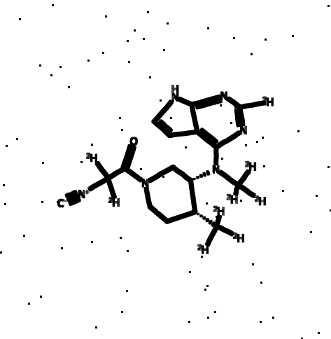 [2H]c1nc(N([C@H]2CN(C(=O)C([2H])([2H])[N+]#[C-])CC[C@H]2C([2H])([2H])[2H])C([2H])([2H])[2H])c2cc[nH]c2n1